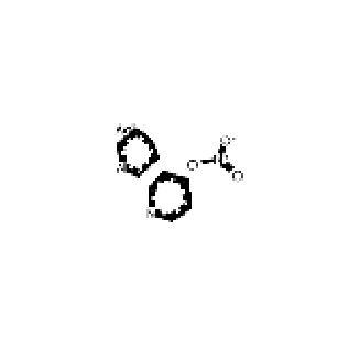 O=[N+]([O-])[O-].[Ag+].c1ccncc1.c1ccncc1